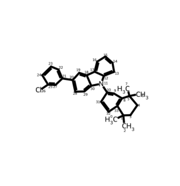 CC1(C)CCC(C)(C)c2cc(-n3c4ccccc4c4cc(-c5cccc(Cl)c5)ccc43)ccc21